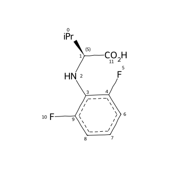 CC(C)[C@H](Nc1c(F)cccc1F)C(=O)O